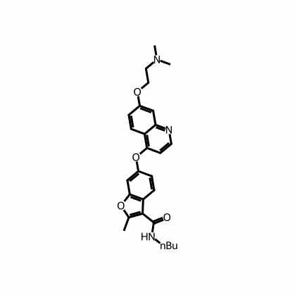 CCCCNC(=O)c1c(C)oc2cc(Oc3ccnc4cc(OCCN(C)C)ccc34)ccc12